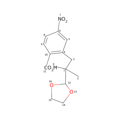 CC(C)(Cc1cc([N+](=O)[O-])ccc1C(=O)O)C1OCCO1